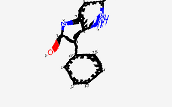 O=C1N=c2cc(Br)[nH]c2=C1c1ccccc1